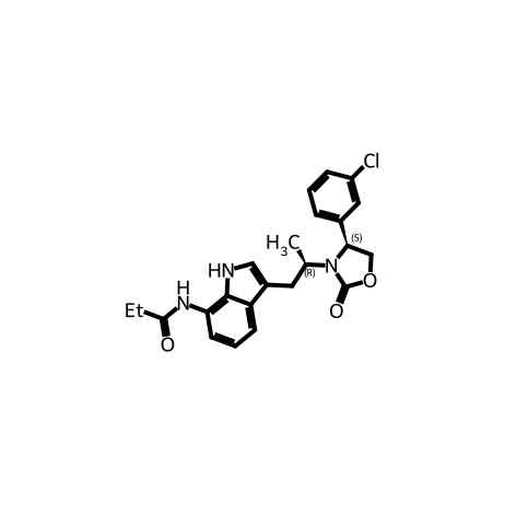 CCC(=O)Nc1cccc2c(C[C@@H](C)N3C(=O)OC[C@@H]3c3cccc(Cl)c3)c[nH]c12